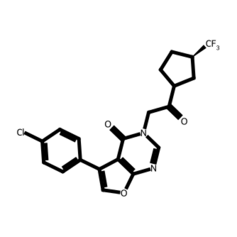 O=C(Cn1cnc2occ(-c3ccc(Cl)cc3)c2c1=O)C1CC[C@@H](C(F)(F)F)C1